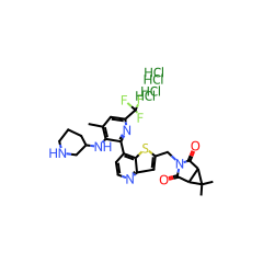 Cc1cc(C(F)(F)F)nc(-c2ccnc3cc(CN4C(=O)C5C(C4=O)C5(C)C)sc23)c1NC1CCCNC1.Cl.Cl.Cl.Cl